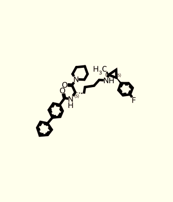 C[C@@]1(NCCCC[C@H](NC(=O)c2ccc(-c3ccccc3)cc2)C(=O)N2CCCCC2)C[C@H]1c1ccc(F)cc1